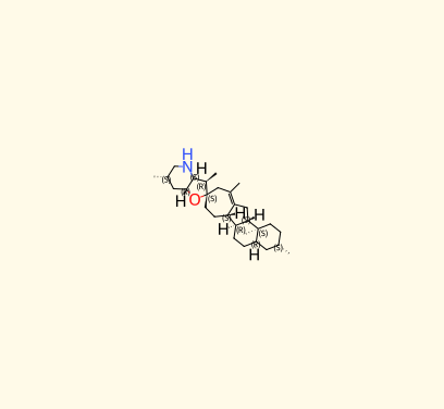 CC1=C2C[C@H]3[C@@H](CC[C@@H]4C[C@@H](C)CC[C@@]43C)[C@@H]2CC[C@@]2(C1)O[C@@H]1C[C@H](C)CN[C@H]1[C@H]2C